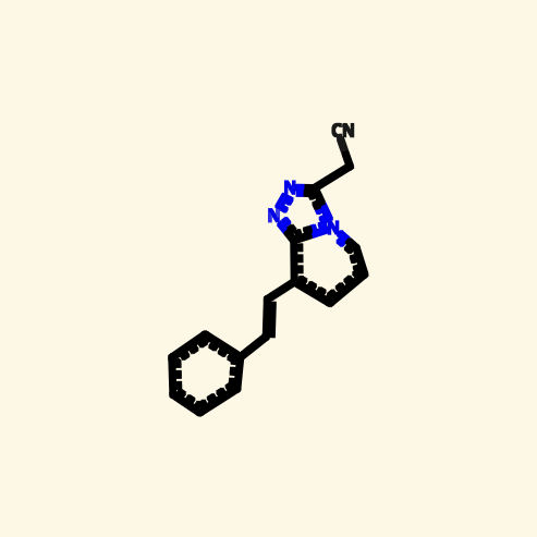 N#CCc1nnc2c(/C=C/c3ccccc3)cccn12